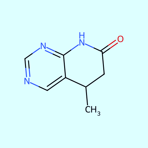 CC1CC(=O)Nc2ncncc21